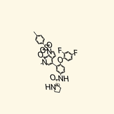 Cc1ccc(S(=O)(=O)n2ccc3c(-c4cc(NC(=O)[C@@H]5CCCN5)ccc4Oc4ccc(F)cc4F)cn(C)c(=O)c32)cc1